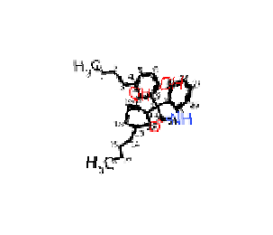 CCCCc1ccc(O)c(C2(c3cc(CCCC)ccc3O)C(=O)Nc3ccccc32)c1